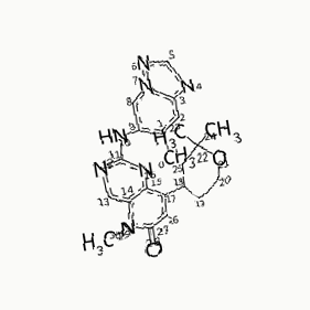 Cc1cc2ncnn2cc1Nc1ncc2c(n1)c(C1CCOC(C)(C)C1)cc(=O)n2C